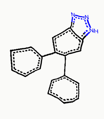 c1ccc(-c2cc3nn[nH]c3cc2-c2ccccc2)cc1